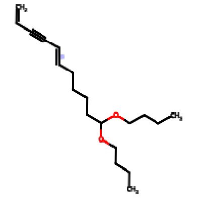 C=CC#C/C=C/CCCCC(OCCCC)OCCCC